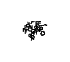 C=CCCC(OCc1ccccc1)(c1nnc(-c2nc(O[C@H](C)CC=C)c(C(F)(F)F)cc2NC(=O)OC(C)(C)C)o1)C(F)(F)F